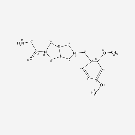 COc1ccc(CN2CC3CN(C(=O)CN)CC3C2)c(OC)c1